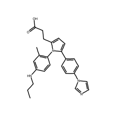 CCCNc1ccc(-n2c(CCC(=O)O)ccc2-c2ccc(-n3ccnc3)cc2)c(C)c1